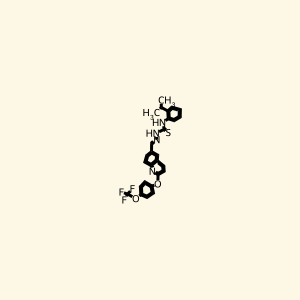 CC(C)c1ccccc1NC(=S)NN=Cc1ccc2nc(Oc3ccc(OC(F)(F)F)cc3)ccc2c1